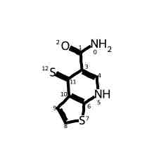 NC(=O)c1c[nH]c2sccc2c1=S